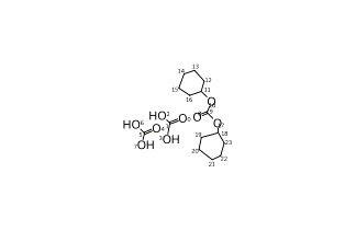 O=C(O)O.O=C(O)O.O=C(OC1CCCCC1)OC1CCCCC1